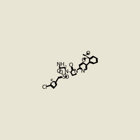 CS(=O)(=O)c1ccccc1-c1ccc(N2CC[C@H](N(CC(N)=O)S(=O)(=O)/C=C/c3ccc(Cl)s3)C2=O)nc1